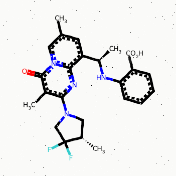 Cc1cc([C@@H](C)Nc2ccccc2C(=O)O)c2nc(N3C[C@H](C)C(F)(F)C3)c(C)c(=O)n2c1